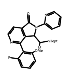 CCCCCCCC(CC)C1c2c(ccnc2-c2c(F)cccc2OC)C(=O)N1c1ccccn1